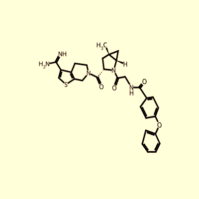 C[C@@]12C[C@@H]1N(C(=O)CNC(=O)c1ccc(Oc3ccccc3)cc1)[C@H](C(=O)N1CCc3c(C(=N)N)csc3C1)C2